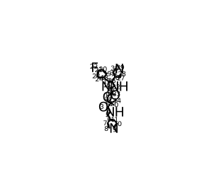 CC1(C(=O)NCc2ccncc2)COC(c2nc(-c3ccc(F)cc3)c(-c3ccncc3)[nH]2)OC1